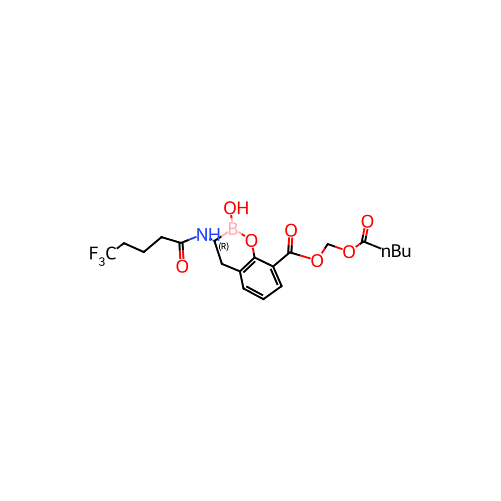 CCCCC(=O)OCOC(=O)c1cccc2c1OB(O)[C@@H](NC(=O)CCCC(F)(F)F)C2